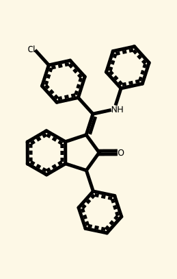 O=C1/C(=C(\Nc2ccccc2)c2ccc(Cl)cc2)c2ccccc2C1c1ccccc1